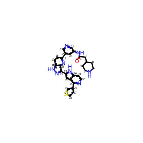 O=C(CC1CCNCC1)Nc1cncc(-c2ccc3[nH]nc(-c4cc5c(-c6ccsc6)nccc5[nH]4)c3n2)c1